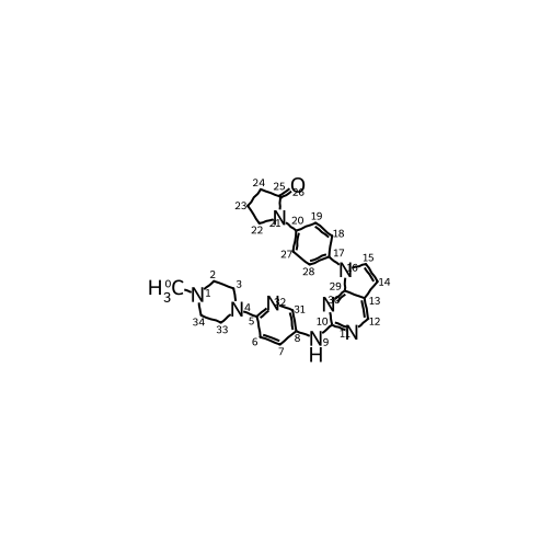 CN1CCN(c2ccc(Nc3ncc4ccn(-c5ccc(N6CCCC6=O)cc5)c4n3)cn2)CC1